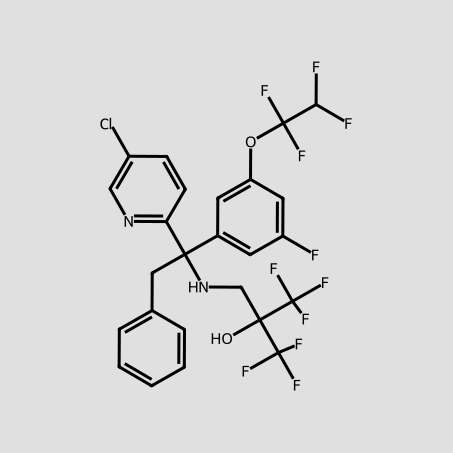 OC(CNC(Cc1ccccc1)(c1cc(F)cc(OC(F)(F)C(F)F)c1)c1ccc(Cl)cn1)(C(F)(F)F)C(F)(F)F